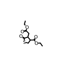 CCOC(=O)CC1C(=O)SCC1C(=O)OCC